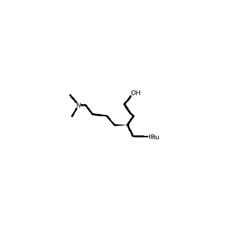 CN(C)CCCC[C@@H](CCO)CC(C)(C)C